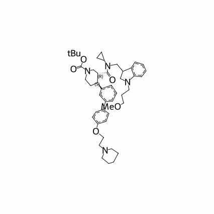 COCCCN1CC(CN(C(=O)[C@H]2CN(C(=O)OC(C)(C)C)CC[C@@H]2c2cccc(-c3ccc(OCCN4CCCCC4)cc3)c2)C2CC2)c2ccccc21